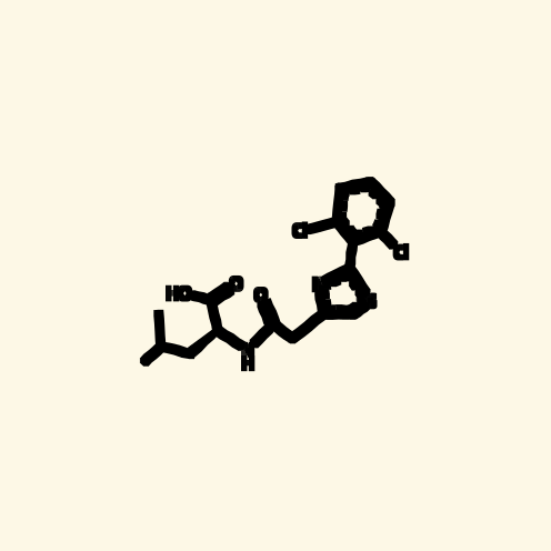 CC(C)C[C@H](NC(=O)Cc1csc(-c2c(Cl)cccc2Cl)n1)C(=O)O